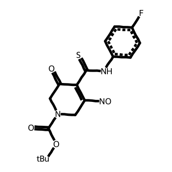 CC(C)(C)OC(=O)N1CC(=O)C(C(=S)Nc2ccc(F)cc2)=C(N=O)C1